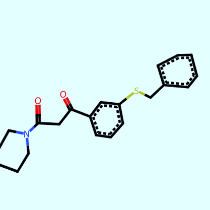 O=C(CC(=O)N1CCCCC1)c1cccc(SCc2ccccc2)c1